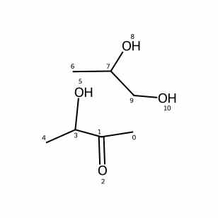 CC(=O)C(C)O.CC(O)CO